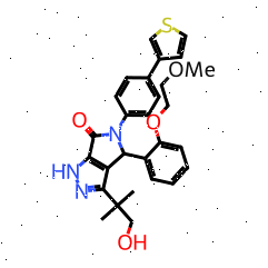 COCCOc1ccccc1C1c2c(C(C)(C)CO)n[nH]c2C(=O)N1c1ccc(-c2ccsc2)cc1